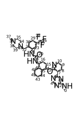 CNc1ncnc(-c2cccnc2Oc2ccc(NC(=O)Nc3cc(C(F)(F)F)ccc3CN3CCN(C)CC3)c3ccccc23)n1